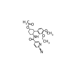 CCOc1cc(C2CC(OC(C)=O)CCC2NC(=O)c2ccc(C#N)nc2)ccc1OC